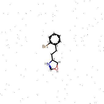 Brc1ccccc1CCC1CO[C]=N1